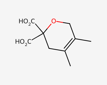 CC1=C(C)CC(C(=O)O)(C(=O)O)OC1